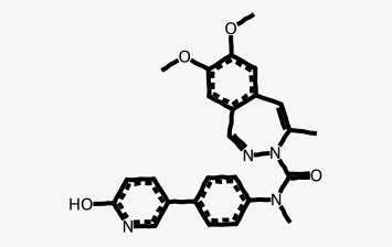 COc1cc2c(cc1OC)C=C(C)N(C(=O)N(C)c1ccc(-c3ccc(O)nc3)cc1)N=C2